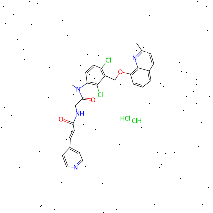 Cc1ccc2cccc(OCc3c(Cl)ccc(N(C)C(=O)CNC(=O)C=Cc4ccncc4)c3Cl)c2n1.Cl.Cl